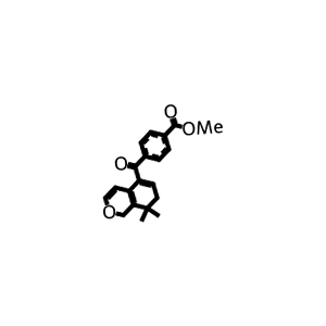 COC(=O)c1ccc(C(=O)C2=CCC(C)(C)C3=C2C=COC3)cc1